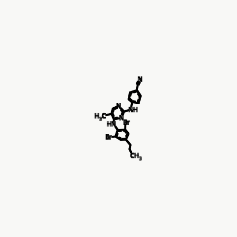 CCCc1cc(Br)c(Nc2nc(Nc3ccc(C#N)cc3)ncc2C)c(Br)c1